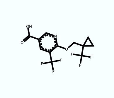 O=C(O)c1cnc(OCC2(C(F)(F)F)CC2)c(C(F)(F)F)c1